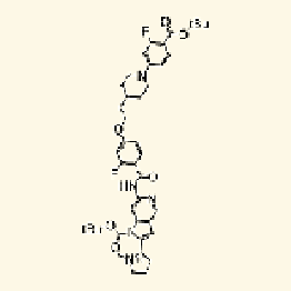 CN1CCC[C@@H]1c1cc2cnc(NC(=O)c3ccc(OCCC4CCN(c5ccc(C(=O)OC(C)(C)C)c(F)c5)CC4)cc3F)cc2n1C(=O)OC(C)(C)C